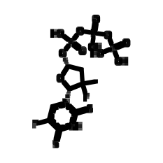 CC1(F)C[C@@H](OP(=O)(O)OP(=O)(O)OP(=O)(O)O)O[C@H]1n1cc(F)c(=S)[nH]c1=S